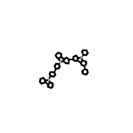 c1ccc(-c2ccc3c(c2)c2cc(-c4ccc5c(c4)c4ccccc4n5-c4ccc(-c5ccc(-n6c7ccccc7c7ccccc76)cc5)cc4)ccc2n3-c2ccccc2)cc1